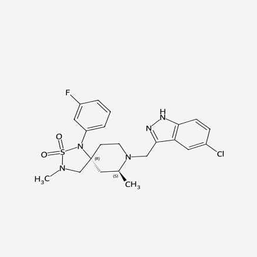 C[C@H]1C[C@]2(CCN1Cc1n[nH]c3ccc(Cl)cc13)CN(C)S(=O)(=O)N2c1cccc(F)c1